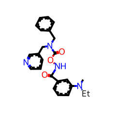 CCN(C)c1cccc(C(=O)NOC(=O)N(Cc2ccccc2)Cc2cccnc2)c1